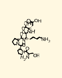 NCCCC[C@H](NC(=O)[C@@H]1CCCN1C(=O)[C@@H]1CCCN1C(=O)[C@@H](N)CO)C(=O)N[C@@H](CC(=O)O)C(=O)O